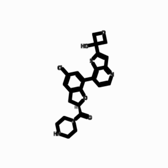 O=C([C@H]1Cc2cc(Cl)cc(-c3ccnc4cc(C5(O)COC5)sc34)c2O1)N1CCNCC1